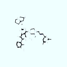 Cc1cc(/C=C/C(=O)N2CCN(c3nc(OC[C@@]45CCCN4C[C@H](F)C5)nc4c(F)c(-c5cccc(Cl)c5C(F)(F)F)ncc34)C[C@@H]2CC#N)nc(C)n1